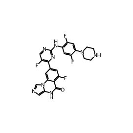 O=c1[nH]c2cncn2c2cc(-c3nc(Nc4cc(F)c(N5CCNCC5)cc4F)ncc3F)cc(F)c12